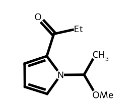 CCC(=O)c1cccn1C(C)OC